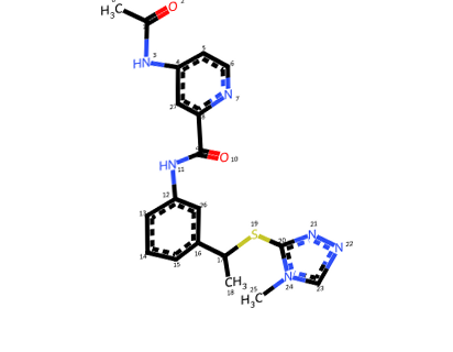 CC(=O)Nc1ccnc(C(=O)Nc2cccc(C(C)Sc3nncn3C)c2)c1